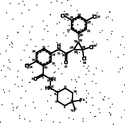 O=C(NNC1CCC(F)(F)CC1)c1cc(NC(=O)[C@H]2[C@H](c3cc(Cl)cc(Cl)c3)C2(Cl)Cl)ccc1Cl